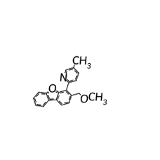 COCc1ccc2c(oc3ccccc32)c1-c1ccc(C)cn1